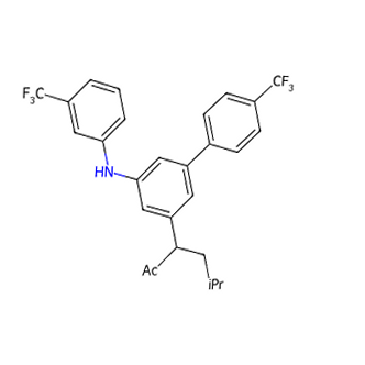 CC(=O)C(CC(C)C)c1cc(Nc2cccc(C(F)(F)F)c2)cc(-c2ccc(C(F)(F)F)cc2)c1